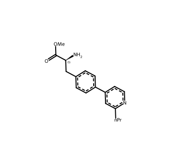 CCCc1cc(-c2ccc(C[C@H](N)C(=O)OC)cc2)ccn1